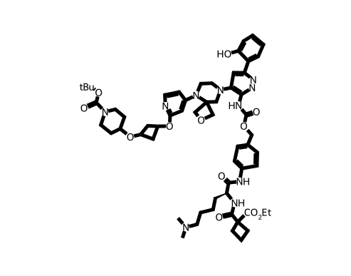 CCOC(=O)C1(C(=O)N[C@@H](CCCCN(C)C)C(=O)Nc2ccc(COC(=O)Nc3nnc(-c4ccccc4O)cc3N3CCN(c4ccnc(OC5CC(OC6CCN(C(=O)OC(C)(C)C)CC6)C5)c4)C4(COC4)C3)cc2)CCC1